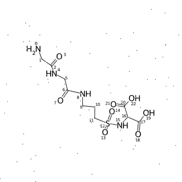 NCC(=O)NCC(=O)NCCCS(=O)(=O)NC(C(=O)O)C(=O)O